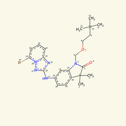 CC1(C)C(=O)N(COCC[Si](C)(C)C)c2cc(Nc3nc4cccc(Br)n4n3)ccc21